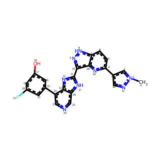 Cn1cc(-c2ccc3[nH]nc(-c4nc5c(-c6cc(O)cc(F)c6)cncc5[nH]4)c3n2)cn1